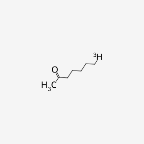 [3H]CCCCCC(C)=O